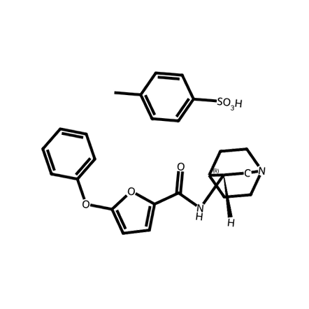 Cc1ccc(S(=O)(=O)O)cc1.O=C(N[C@H]1CN2CCC1CC2)c1ccc(Oc2ccccc2)o1